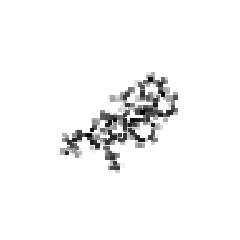 CC(C)[C@H](NC1(c2cccc3ccccc23)CCCCO1)C(=O)N[C@@H](CC(=O)OC(C)(C)C)C(=O)C=[N+]=[N-]